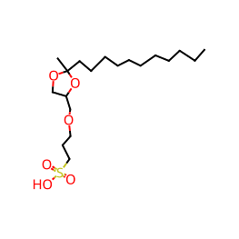 CCCCCCCCCCCC1(C)OCC(COCCCS(=O)(=O)O)O1